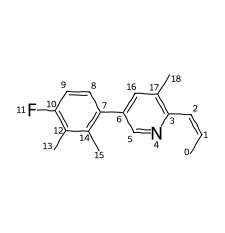 C/C=C\c1ncc(-c2ccc(F)c(C)c2C)cc1C